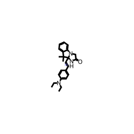 CCN(CC)c1ccc(/C=C/C23NC(=O)CN2c2ccccc2C3(C)C)cc1